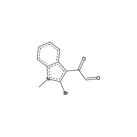 Cn1c(Br)c(C(=O)C=O)c2ccccc21